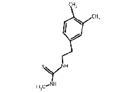 CNC(=S)NCCc1ccc(C)c(C)c1